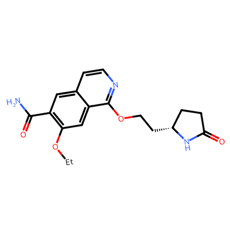 CCOc1cc2c(OCC[C@@H]3CCC(=O)N3)nccc2cc1C(N)=O